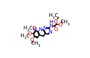 CCOC(OC)C(=O)Nc1ncc(Cc2cc(OC)c(OC)c(OC)c2)c(N)n1